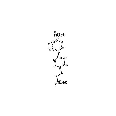 CCCCCCCCCCCCc1ccc(-c2ccc(CCCCCCCC)nn2)cc1